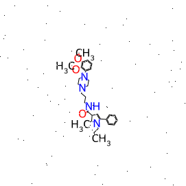 CCCN1C(c2ccccc2)=CC(C(=O)NCCCN2CCN(c3cccc(OC)c3OC)CC2)C1C